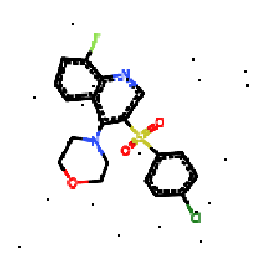 O=S(=O)(c1ccc(Cl)cc1)c1cnc2c(F)cccc2c1N1CCOCC1